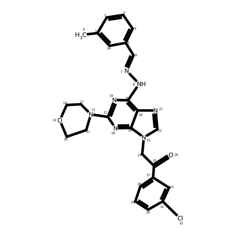 Cc1cccc(C=NNc2nc(N3CCOCC3)nc3c2ncn3CC(=O)c2cccc(Cl)c2)c1